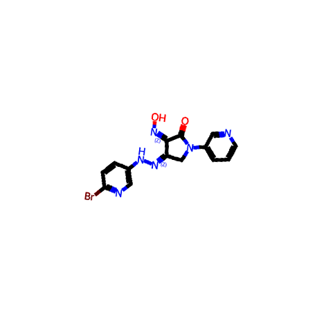 O=C1C(=N\O)/C(=N\Nc2ccc(Br)nc2)CN1c1cccnc1